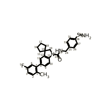 Cc1ccc(F)cc1-c1ccc2c(c1)C1(CCCC1)CN2C(=O)NCc1ccc(SN)cc1